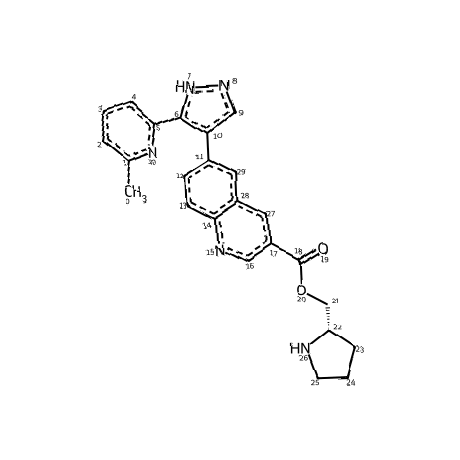 Cc1cccc(-c2[nH]ncc2-c2ccc3ncc(C(=O)OC[C@@H]4CCCN4)cc3c2)n1